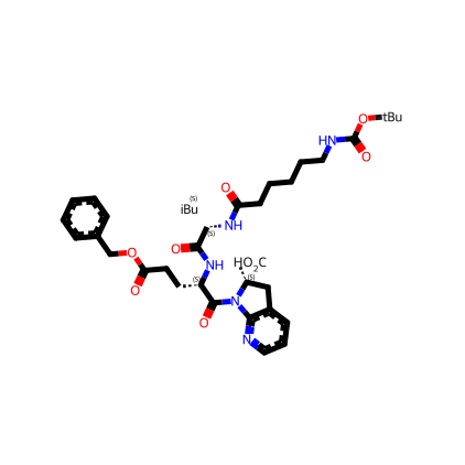 CC[C@H](C)[C@H](NC(=O)CCCCCNC(=O)OC(C)(C)C)C(=O)N[C@@H](CCC(=O)OCc1ccccc1)C(=O)N1c2ncccc2C[C@H]1C(=O)O